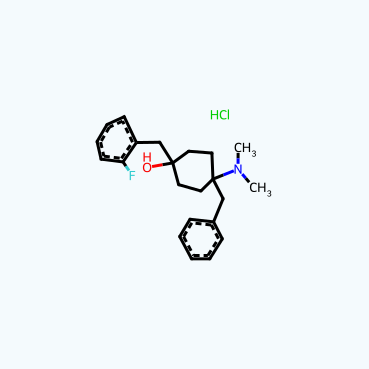 CN(C)C1(Cc2ccccc2)CCC(O)(Cc2ccccc2F)CC1.Cl